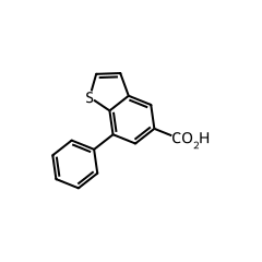 O=C(O)c1cc(-c2ccccc2)c2sccc2c1